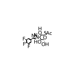 CC(=O)S[C@@H]1O[C@H](CO)[C@H](O)[C@H](n2cc(-c3cc(F)c(F)c(F)c3)nn2)[C@H]1O